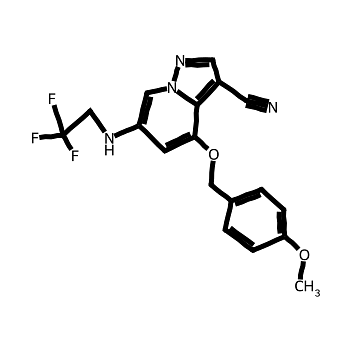 COc1ccc(COc2cc(NCC(F)(F)F)cn3ncc(C#N)c23)cc1